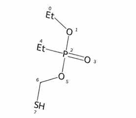 CCOP(=O)(CC)OCS